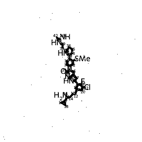 CSc1cc(-n2cc3cc(-c4cc(CCC[C@@H](N)C5CC5)cc(Cl)c4F)[nH]c3nc2=O)ccc1[C@@H]1CCC[C@@H](CCNC(C)=N)N1